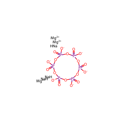 O=P1([O-])OP(=O)([O-])OP(=O)([O-])OP(=O)([O-])OP(=O)([O-])OP(=O)([O-])O1.[Mg+2].[Mg+2].[Mg+2].[NaH].[NaH].[NaH]